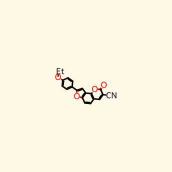 CCOc1ccc(-c2cc3c(ccc4cc(C#N)c(=O)oc43)o2)cc1